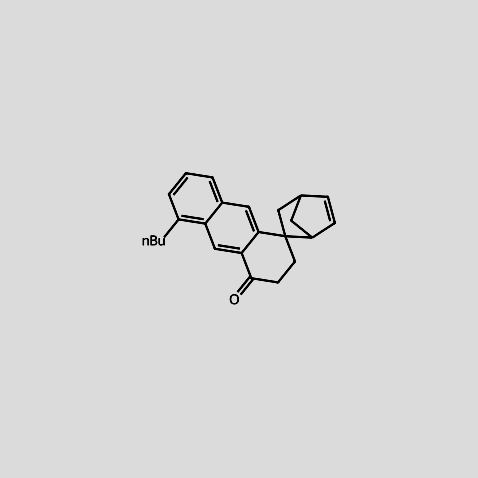 CCCCc1cccc2cc3c(cc12)C(=O)CCC31CC2C=CC1C2